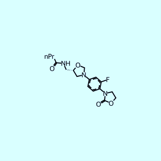 CCCC(=O)NC[C@H]1CN(c2ccc(N3CCOC3=O)c(F)c2)CO1